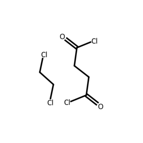 ClCCCl.O=C(Cl)CCC(=O)Cl